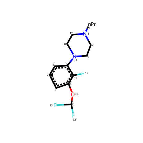 CCCN1CCN(c2cccc(OC(F)F)c2F)CC1